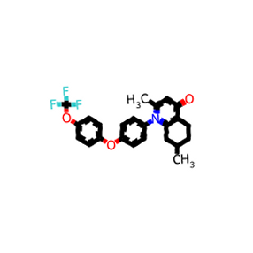 Cc1cc(=O)c2c(n1-c1ccc(Oc3ccc(OC(F)(F)F)cc3)cc1)CC(C)CC2